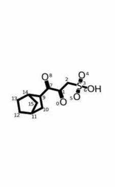 O=C(CS(=O)(=O)O)C(=O)C1CC2CCC1C2